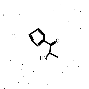 CC([NH])C(=O)c1ccccc1